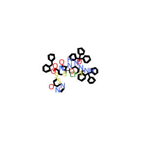 O=C(NC1C(=O)N2C(C(=O)OC(c3ccccc3)c3ccccc3)=C(Sc3cc(=O)c4nccnc4s3)CS[C@@H]12)C(=NOC(c1ccccc1)(c1ccccc1)c1ccccc1)c1nc(NC(c2ccccc2)(c2ccccc2)c2ccccc2)sc1Cl